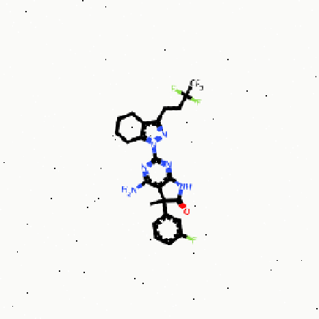 CC1(c2cccc(F)c2)C(=O)Nc2nc(-n3nc(CCC(F)(F)C(F)(F)F)c4c3CCCC4)nc(N)c21